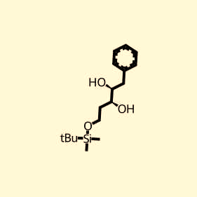 CC(C)(C)[Si](C)(C)OCC[C@H](O)[C@@H](O)Cc1ccccc1